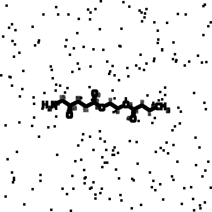 CCCC(=O)OCCOC(=O)CCC(=O)CN